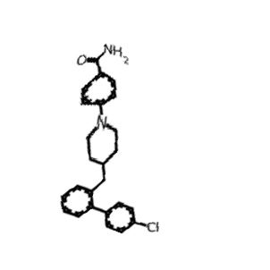 NC(=O)c1ccc(N2CCC(Cc3ccccc3-c3ccc(Cl)cc3)CC2)cc1